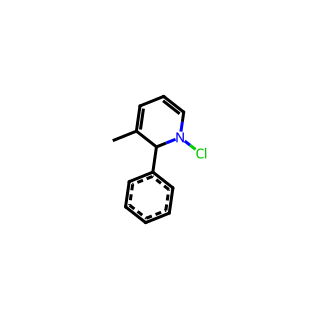 CC1=CC=CN(Cl)C1c1ccccc1